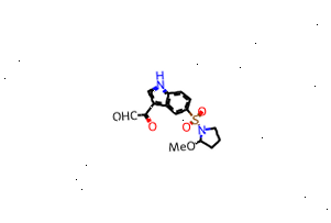 COC1CCCN1S(=O)(=O)c1ccc2[nH]cc(C(=O)C=O)c2c1